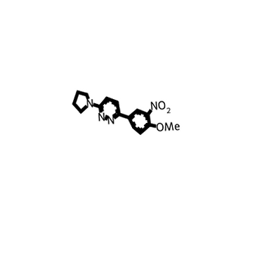 COc1ccc(-c2ccc(N3CCCC3)nn2)cc1[N+](=O)[O-]